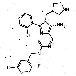 C=C(/N=C\c1nc(-c2ccccc2Cl)n(CC2CCNC2)c1N)NCc1cc(Cl)ccc1F